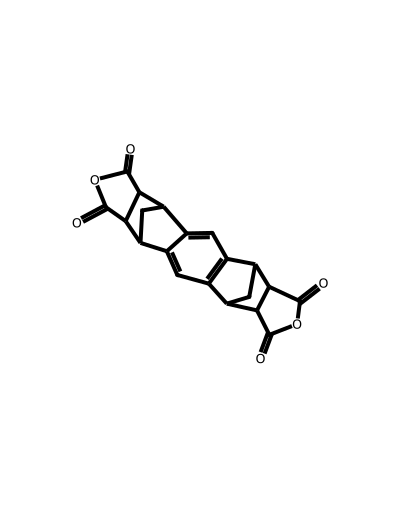 O=C1OC(=O)C2C3CC(c4cc5c(cc43)C3CC5C4C(=O)OC(=O)C34)C12